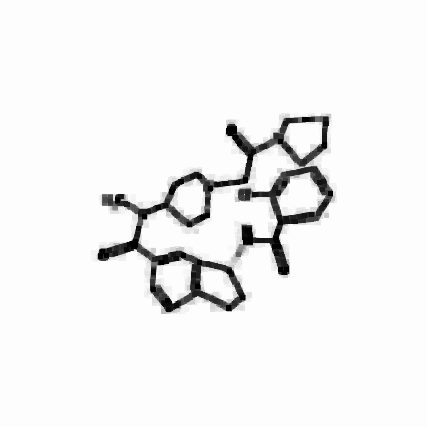 CN(C(=O)c1ccc2c(c1)[C@H](NC(=O)c1ccccc1Cl)CC2)C1CCN(CC(=O)N2CCCC2)CC1